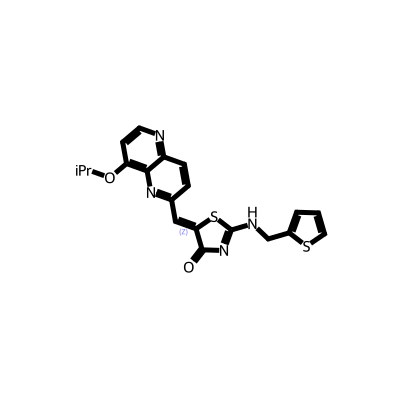 CC(C)Oc1ccnc2ccc(/C=C3\SC(NCc4cccs4)=NC3=O)nc12